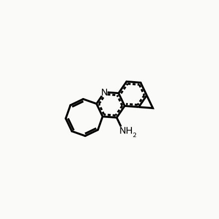 Nc1c2c(nc3ccc4c(c13)C4)C=CC=CC=C2